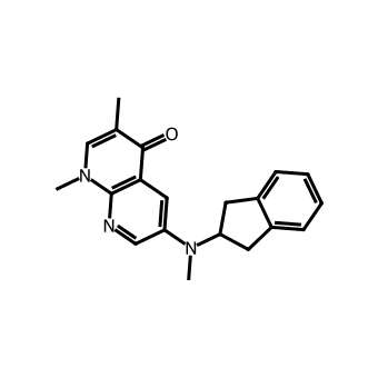 Cc1cn(C)c2ncc(N(C)C3Cc4ccccc4C3)cc2c1=O